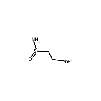 CCCCC[Si](N)=O